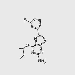 CCC(C)Oc1nc(N)nc2ccc(-c3cccc(F)c3)nc12